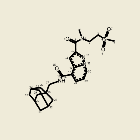 CN(CCS(C)(=O)=O)C(=O)c1cc2c(C(=O)NCC34CC5CC(CC(C5)C3)C4)cccn2n1